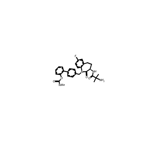 CNC(=O)Oc1ccccc1-c1ccc(CN2C(=O)[C@H](NC(=O)C(C)(C)N)CCc3cc(F)ccc32)cc1